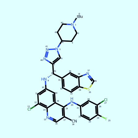 CC(C)(C)N1CCC(n2cc([C@@H](Nc3cc(Cl)c4ncc(C#N)c(Nc5ccc(F)c(Cl)c5)c4c3)c3ccc4scnc4c3)nn2)CC1